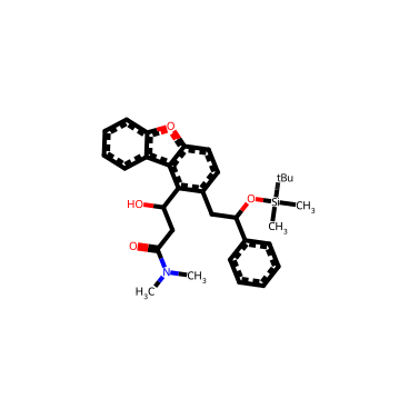 CN(C)C(=O)CC(O)c1c(CC(O[Si](C)(C)C(C)(C)C)c2ccccc2)ccc2oc3ccccc3c12